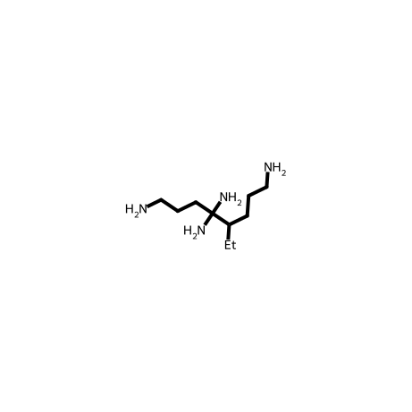 CCC(CCCN)C(N)(N)CCCN